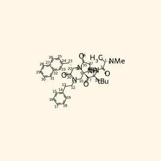 CN[C@@H](C)C(=O)N[C@H](C(=O)[C@@]12CN(CCc3ccccc3)C(=O)[C@H](Cc3ccc4ccccc4c3)N1C(=O)CN2)C(C)(C)C